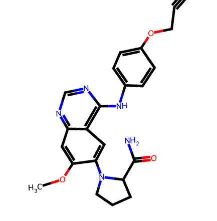 C#CCOc1ccc(Nc2ncnc3cc(OC)c(N4CCCC4C(N)=O)cc23)cc1